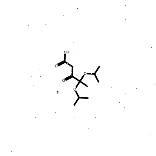 CC(C)OC(C)(OC(C)C)C(=O)CC(=O)O.[Ti]